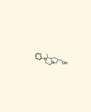 CC1C2CC(CO)CN2CCN1c1ccccc1